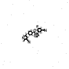 Cc1ncc(C[C@H]2CC[C@H](C(=O)N3OCC[C@H]3c3cc(F)cc(C#N)c3)CC2)cc1C#N